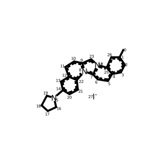 Cc1ccc2ccc3n4c(ccc5cc(N6CCCC6)ccc54)c[n+]3c2c1.[I-]